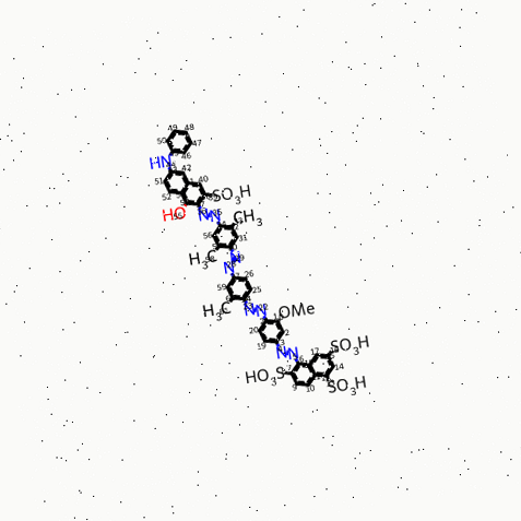 COc1cc(N=Nc2c(S(=O)(=O)O)ccc3c(S(=O)(=O)O)cc(S(=O)(=O)O)cc23)ccc1N=Nc1ccc(N=Nc2cc(C)c(N=Nc3c(S(=O)(=O)O)cc4cc(Nc5ccccc5)ccc4c3O)cc2C)cc1C